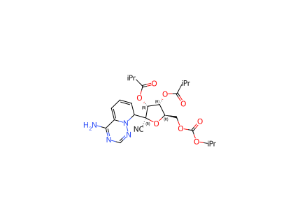 CC(C)OC(=O)OC[C@H]1O[C@@](C#N)(C2C=CC=C3C(N)=NC=NN32)[C@H](OC(=O)C(C)C)[C@@H]1OC(=O)C(C)C